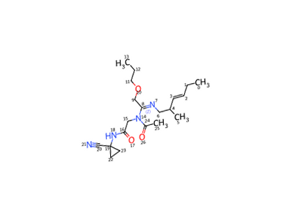 CCC=CC(C)C/N=C(/COCCC)N(CC(=O)NC1(C#N)CC1)C(C)=O